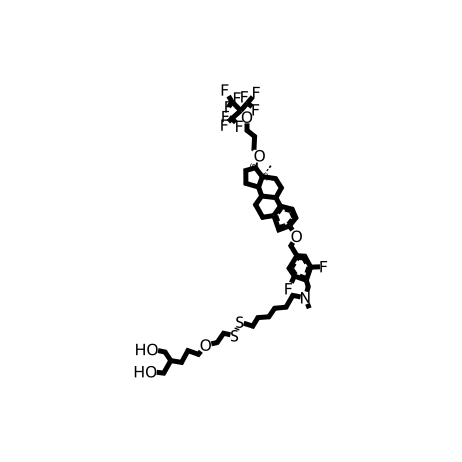 CN(CCCCCCSSCCOCCCC(CO)CO)Cc1c(F)cc(COc2ccc3c(c2)CCC2C3CC[C@@]3(C)C2CC[C@@H]3OCCCOC(C(F)(F)F)(C(F)(F)F)C(F)(F)F)cc1F